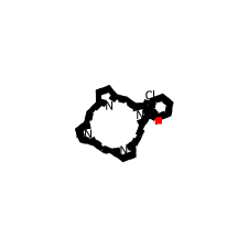 Fc1c(Cl)c2cc3nc(cc4ccc(cc5nc(cc1n2-c1ccccc1)C=C5)[nH]4)C=C3